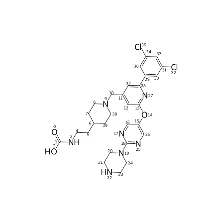 O=C(O)NCCC1CCN(Cc2cc(Oc3cnc(N4CCNCC4)nc3)nc(-c3cc(Cl)cc(Cl)c3)c2)CC1